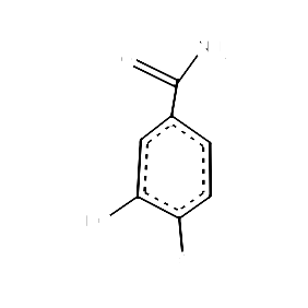 Cc1cc(C(N)=O)ccc1Cl